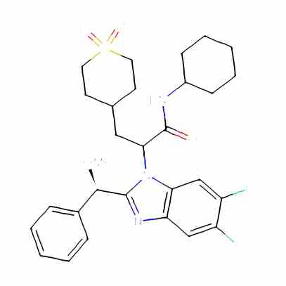 CO[C@H](c1ccccc1)c1nc2cc(F)c(F)cc2n1C(CC1CCS(=O)(=O)CC1)C(=O)NC1CCCCC1